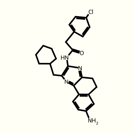 Nc1ccc2c(c1)CCc1nc(NC(=O)Cc3ccc(Cl)cc3)c(CC3CCCCC3)nc1-2